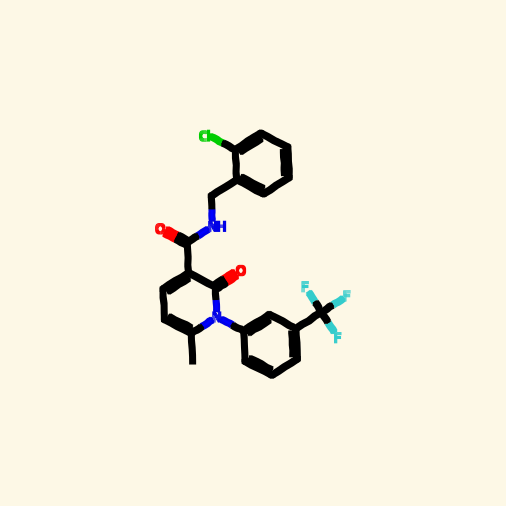 Cc1ccc(C(=O)NCc2ccccc2Cl)c(=O)n1-c1cccc(C(F)(F)F)c1